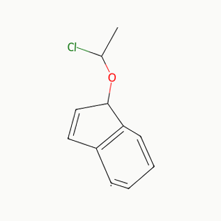 CC(Cl)OC1C=Cc2[c]cccc21